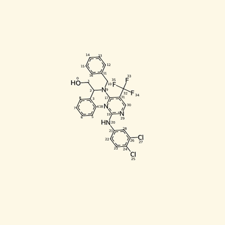 OCC(c1ccccc1)N(Cc1ccccc1)c1nc(Nc2ccc(Cl)c(Cl)c2)ncc1C(F)(F)F